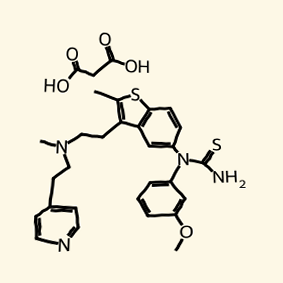 COc1cccc(N(C(N)=S)c2ccc3sc(C)c(CCN(C)CCc4ccncc4)c3c2)c1.O=C(O)CC(=O)O